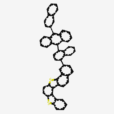 c1ccc2cc(-c3c4ccccc4c(-c4ccc(-c5ccc6ccc7c(sc8ccc9sc%10ccccc%10c9c87)c6c5)c5ccccc45)c4ccccc34)ccc2c1